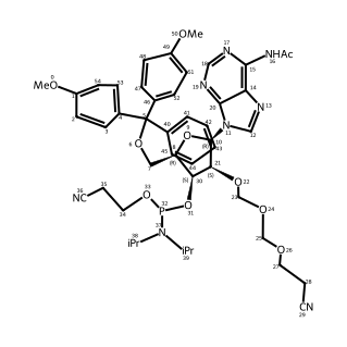 COc1ccc(C(OC[C@H]2O[C@@H](n3cnc4c(NC(C)=O)ncnc43)[C@@H](OCOCOCCC#N)[C@H]2OP(OCCC#N)N(C(C)C)C(C)C)(c2ccccc2)c2ccc(OC)cc2)cc1